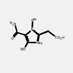 CCCN1C(C(N)=O)=C(O)NC1CC(=O)O